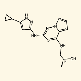 C[C@H](O)CNc1nc(Nc2cc(C3CC3)[nH]n2)nn2cccc12